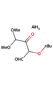 CCCCOC(C=O)C(=O)C(OC)OC.[AlH3]